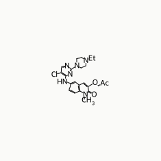 CCN1CCN(c2ncc(Cl)c(Nc3ccc4c(c3)cc(OCC(C)=O)c(=O)n4C)n2)CC1